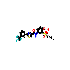 CS(=O)(=O)c1cc(NC(=O)c2csc(-c3cccc(C(F)(F)F)c3)n2)ccc1O